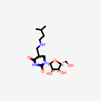 CC(C)CCNCc1cn([C@@H]2O[C@H](CO)[C@@H](O)[C@H]2O)c(=O)[nH]c1=O